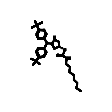 CCCCCCCCNC(=O)O[C@H]1CNC(C(c2ccc(C(C)(C)C)cc2)c2ccc(C(C)(C)C)cc2)C1